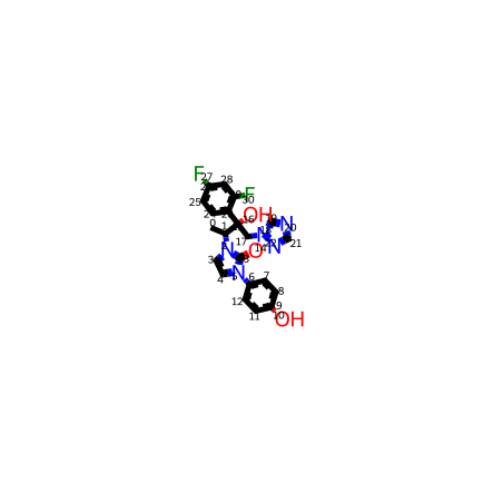 CC(n1ccn(-c2ccc(O)cc2)c1=O)C(O)(Cn1cncn1)c1ccc(F)cc1F